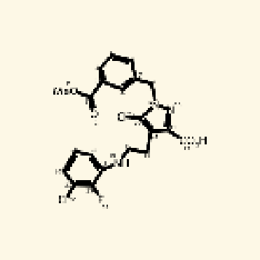 COC(=O)c1cccc(Cn2nc(C(=O)O)c(CCNc3cccc(Cl)c3F)c2Cl)c1